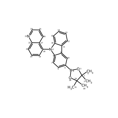 CC1(C)OB(c2ccc3c(c2)c2ccccc2n3-c2cccc3ncccc23)OC1(C)C